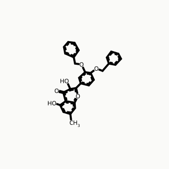 Cc1cc(O)c2c(=O)c(O)c(-c3ccc(OCc4ccccc4)c(OCc4ccccc4)c3)oc2c1